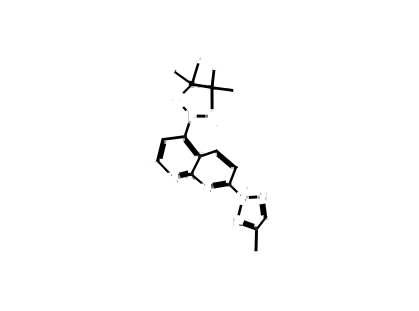 Cc1cnn(-c2ccc3c(B4OC(C)(C)C(C)(C)O4)ccnc3n2)n1